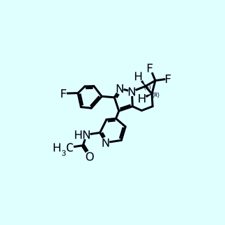 CC(=O)Nc1cc(-c2c(-c3ccc(F)cc3)nn3c2CC[C@@H]2[C@H]3C2(F)F)ccn1